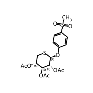 CC(=O)O[C@@H]1[C@@H](OC(C)=O)[C@H](OC(C)=O)CS[C@H]1Oc1ccc(S(C)(=O)=O)cc1